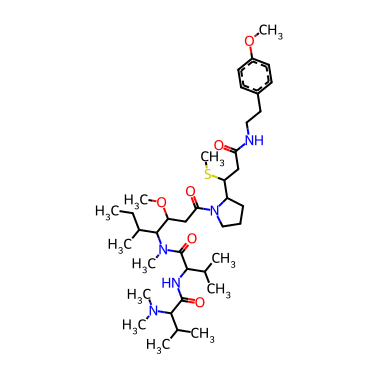 CCC(C)C(C(CC(=O)N1CCCC1C(CC(=O)NCCc1ccc(OC)cc1)SC)OC)N(C)C(=O)C(NC(=O)C(C(C)C)N(C)C)C(C)C